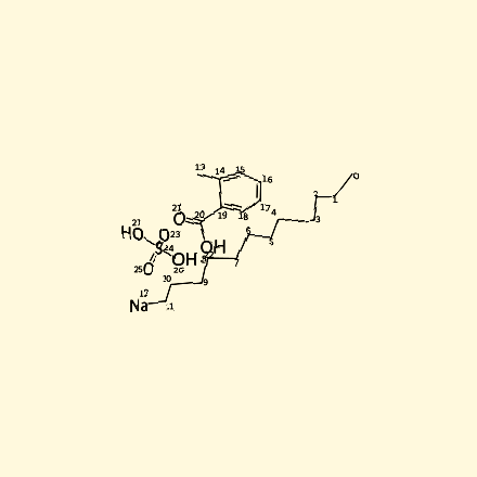 CCCCCCCCCCC[CH2][Na].Cc1ccccc1C(=O)O.O=S(=O)(O)O